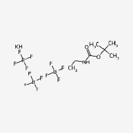 CCNC(=O)OC(C)(C)C.F[B-](F)(F)F.F[B-](F)(F)F.F[B-](F)(F)F.[KH]